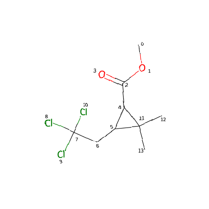 COC(=O)C1C(CC(Cl)(Cl)Cl)C1(C)C